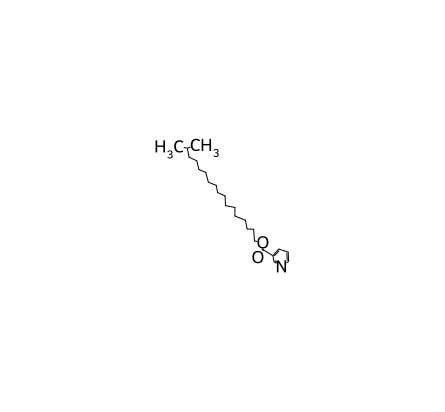 CC(C)CCCCCCCCCCCCCCCOC(=O)c1cccnc1